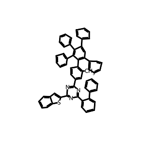 Cc1cc(-c2nc(-c3cc4ccccc4s3)nc(-c3ccccc3-c3ccccc3)n2)ccc1-c1c(-c2ccccc2)cc(-c2ccccc2)c(-c2ccccc2)c1-c1ccccc1